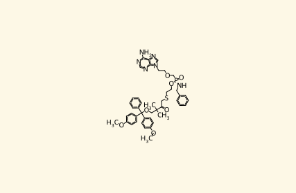 COc1ccc(C(OCC(C)(C)C(=O)CSCCOP(=O)(COCCn2cnc3c(N)ncnc32)NCc2ccccc2)(c2ccccc2)c2ccc(OC)cc2)cc1